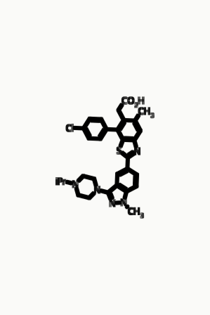 Cc1cc2nc(-c3ccc4c(c3)c(N3CCN(C(C)C)CC3)nn4C)sc2c(-c2ccc(Cl)cc2)c1CC(=O)O